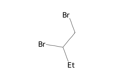 [CH2]CC(Br)CBr